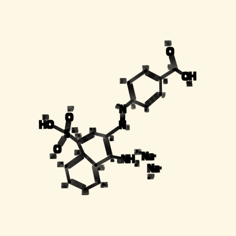 Nc1c(N=Nc2ccc(C(=O)O)cc2)cc(S(=O)(=O)O)c2ccccc12.[Na].[Na]